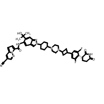 CC(C)(O)c1cc2nn(C3CCC(N4CCN(C5CC(c6cc(F)c([C@H]7CCC(=O)NC7=O)c(F)c6)C5)CC4)CC3)cc2cc1NC(=O)c1ccc2cc(C#N)cnn12